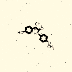 COc1ccc(NC(=O)[C@@H](C)c2ccc(O)cc2)cc1